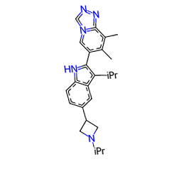 Cc1c(-c2[nH]c3ccc(C4CN(C(C)C)C4)cc3c2C(C)C)cn2cnnc2c1C